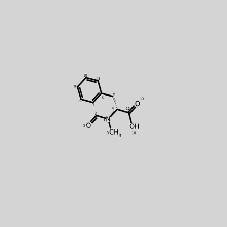 CN(C=O)[C@H](Cc1ccccc1)C(=O)O